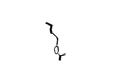 C=C(C)OCC=CC